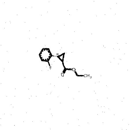 CCOC(=O)C1C[C@H]1c1ccccc1F